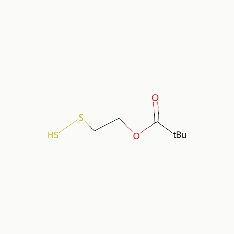 CC(C)(C)C(=O)OCCSS